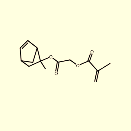 C=C(C)C(=O)OCC(=O)OC1(C)CC2C=CC1C2